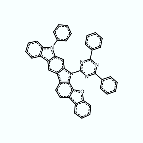 c1ccc(-c2nc(-c3ccccc3)nc(-n3c4cc5c(cc4c4ccc6c7ccccc7oc6c43)c3ccccc3n5-c3ccccc3)n2)cc1